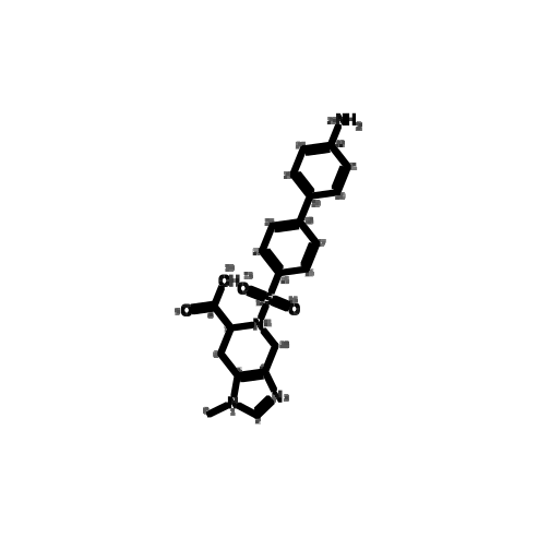 Cn1cnc2c1CC(C(=O)O)N(S(=O)(=O)c1ccc(-c3ccc(N)cc3)cc1)C2